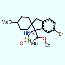 C=C(OCC)[C@@]1(N[S@+]([O-])C(C)(C)C)c2cc(Br)ccc2CC12CCC(OC)CC2